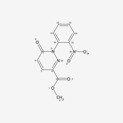 COC(=O)c1ccc(=O)n(-c2ccccc2[N+](=O)[O-])n1